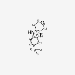 CC(C)(C)c1ccc(NC2CCOCC2)c(F)c1